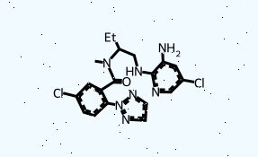 CCC(CNc1ncc(Cl)cc1N)N(C)C(=O)c1cc(Cl)ccc1-n1nccn1